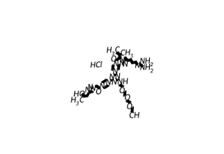 C#CCOCCOCCOCCNc1nc(N2CCN(C(=O)Cn3cc(CC(C)O)nn3)CC2)nc(N2CCN(C(=O)[C@H]([C@@H](C)CC)n3cc(CCCN=C(N)N)nn3)CC2)n1.Cl